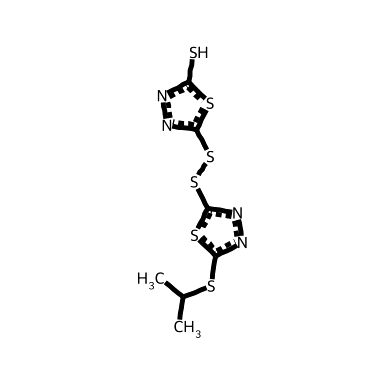 CC(C)Sc1nnc(SSc2nnc(S)s2)s1